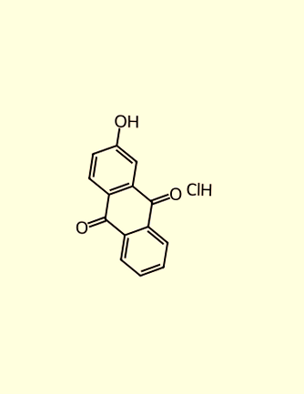 Cl.O=C1c2ccccc2C(=O)c2cc(O)ccc21